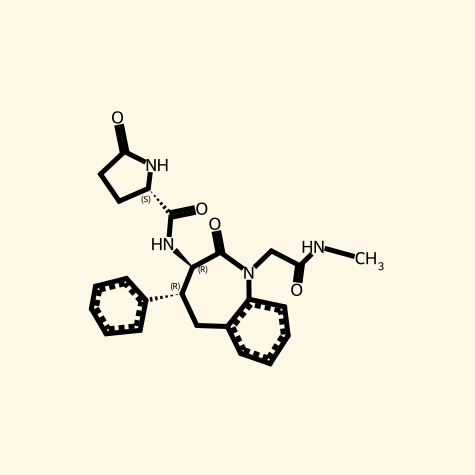 CNC(=O)CN1C(=O)[C@H](NC(=O)[C@@H]2CCC(=O)N2)[C@@H](c2ccccc2)Cc2ccccc21